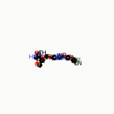 Cn1cc(-c2cc(C3CCCS3(=O)=O)ccc2O[C@H]2C[C@H](OCC3CCN(c4ccc(C(=O)N[C@H]5CC[C@H](Oc6ccc(C#N)c(Cl)c6)CC5)nn4)CC3)C2)c2cc[nH]c2c1=O